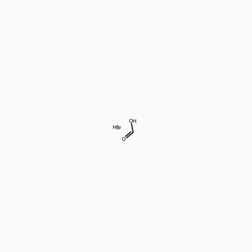 Br.O=CO